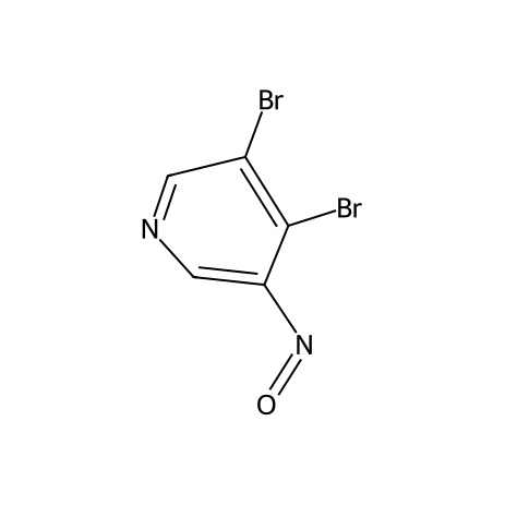 O=Nc1cncc(Br)c1Br